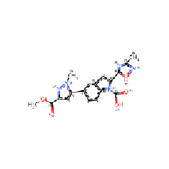 COC(=O)c1cc(-c2ccc3c(c2)cc(-c2nc(C)no2)n3C(=O)O)n(C)n1